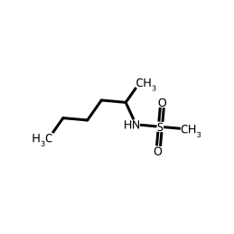 CCCCC(C)NS(C)(=O)=O